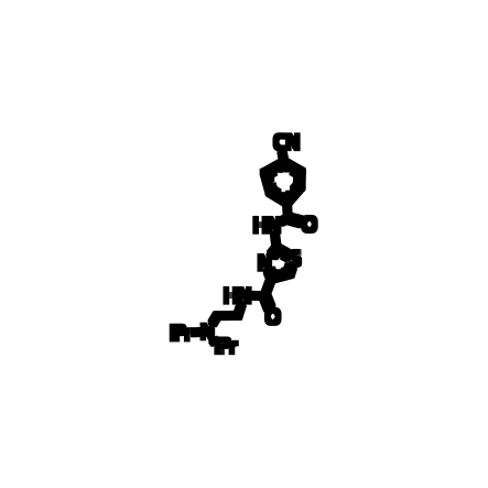 CC(C)N(CCNC(=O)c1csc(NC(=O)c2ccc(C#N)cc2)n1)C(C)C